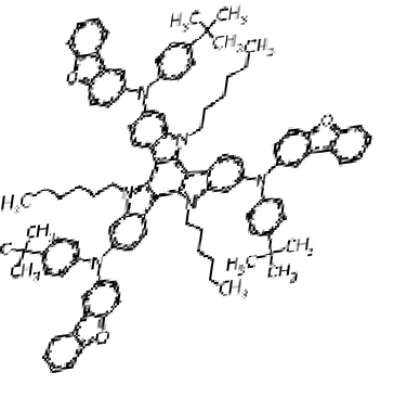 CCCCCCn1c2cc(N(c3ccc(C(C)(C)C)cc3)c3ccc4oc5ccccc5c4c3)ccc2c2c1c1c3ccc(N(c4ccc(C(C)(C)C)cc4)c4ccc5oc6ccccc6c5c4)cc3n(CCCCCC)c1c1c3ccc(N(c4ccc(C(C)(C)C)cc4)c4ccc5oc6ccccc6c5c4)cc3n(CCCCCC)c21